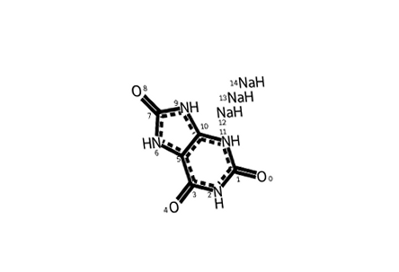 O=c1[nH]c(=O)c2[nH]c(=O)[nH]c2[nH]1.[NaH].[NaH].[NaH]